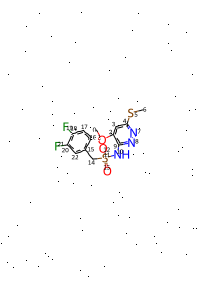 COc1cc(SC)nnc1NS(=O)(=O)Cc1ccc(F)c(F)c1